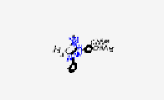 COc1ccc(-c2nc(-n3cncn3)c3c(C)nc(C4CCCC4)n3n2)cc1OC